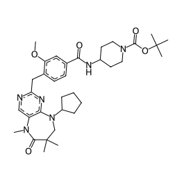 COc1cc(C(=O)NC2CCN(C(=O)OC(C)(C)C)CC2)ccc1Cc1ncc2c(n1)N(C1CCCC1)CC(C)(C)C(=O)N2C